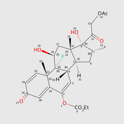 CCOC(=O)OC1=C[C@H]2[C@@H]3C[C@@H](C)[C@](O)(C(=O)COC(C)=O)[C@@]3(C)C[C@H](O)[C@]2(F)[C@@]2(C)C=CC(=O)C=C12